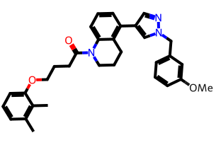 COc1cccc(Cn2cc(-c3cccc4c3CCCN4C(=O)CCCOc3cccc(C)c3C)cn2)c1